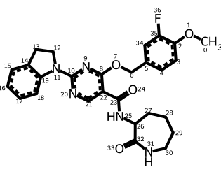 COc1ccc(COc2nc(N3CCc4ccccc43)ncc2C(=O)NC2CCCCNC2=O)cc1F